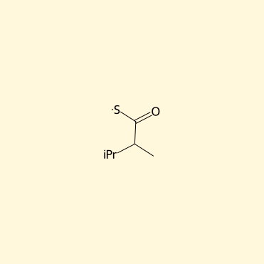 CC(C)C(C)C(=O)[S]